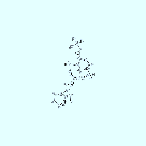 Cc1c(OCC(F)(F)F)ccc2[nH]cc(C(=O)OCC3CCN4CCCC3C4)c12